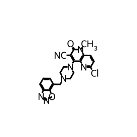 Cn1c(=O)c(C#N)c(N2CCN(Cc3cccc4nnoc34)CC2)c2nc(Cl)ccc21